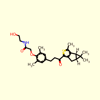 Cc1cc(CCC(=O)c2sc(C)c3c2C[C@@H]2[C@H]3C2(C)C)cc(C)c1OCC(=O)NCCO